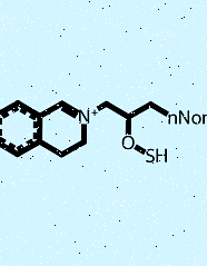 CCCCCCCCCCC(C[N+]1=Cc2ccccc2CC1)OS